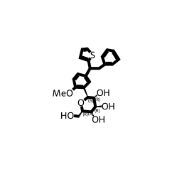 COc1ccc(C(Cc2ccccc2)c2cccs2)cc1[C@@H]1O[C@H](CO)[C@@H](O)[C@H](O)[C@H]1O